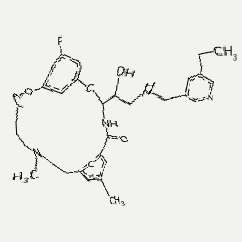 CCc1cncc(CNCC(O)C2Cc3cc(F)cc(c3)OCCCCN(C)Cc3cc(C)cc(c3)C(=O)N2)c1